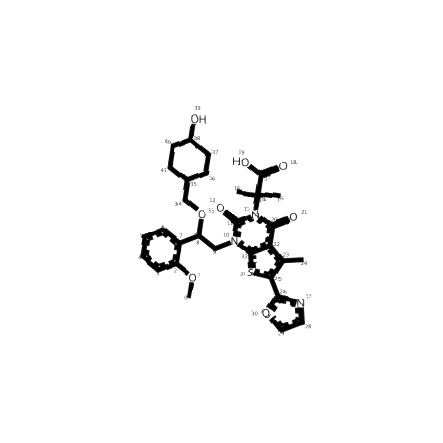 COc1ccccc1C(Cn1c(=O)n(C(C)(C)C(=O)O)c(=O)c2c(C)c(-c3ncco3)sc21)OCC1CCC(O)CC1